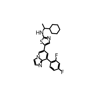 CC(Nc1ncc(-c2cc(-c3ccc(F)cc3F)c3nccn3c2)s1)C1CCCCC1